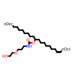 CCCCCCCC/C=C\CCCCCCCC(CCCCCCCCCCCCCCCCCC)OC(=O)NCCCOCCO